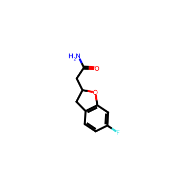 NC(=O)CC1Cc2ccc(F)cc2O1